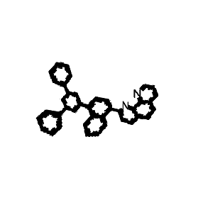 c1ccc(-c2cc(-c3ccccc3)cc(-c3ccc(-c4ccc5ccc6cccnc6c5n4)c4ccccc34)c2)cc1